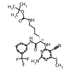 CSc1nc(N)nc(N[C@@H](CCCCNC(=O)OC(C)(C)C)C(=O)Nc2cccc(C(F)(F)F)c2)c1C#N